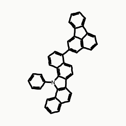 c1ccc(-n2c3c4ccccc4ccc3c3ccc4c(-c5cc6c7c(cccc7c5)-c5ccccc5-6)cccc4c32)cc1